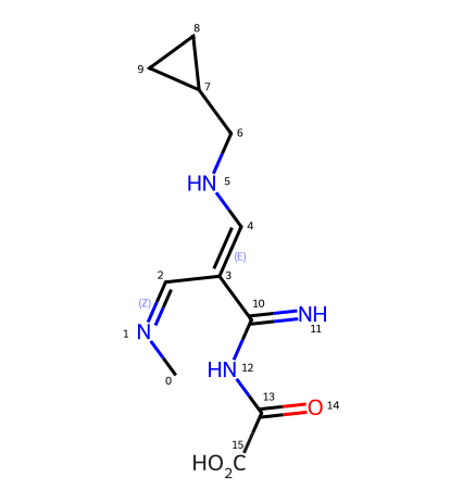 C/N=C\C(=C/NCC1CC1)C(=N)NC(=O)C(=O)O